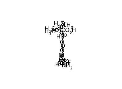 CN(C)c1ccc2c(-c3ccc(C(=O)NCCCOCCOCCOCCCn4cc(-c5nc6c(=O)[nH]c(N)nc6n5Cc5ccc(F)cc5)cn4)cc3C(=O)O)c3ccc(=[N+](C)C)cc-3oc2c1